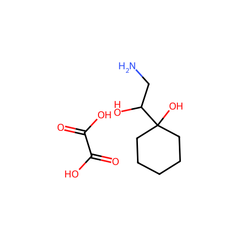 NCC(O)C1(O)CCCCC1.O=C(O)C(=O)O